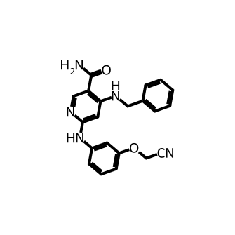 N#CCOc1cccc(Nc2cc(NCc3ccccc3)c(C(N)=O)cn2)c1